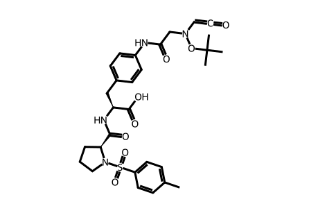 Cc1ccc(S(=O)(=O)N2CCC[C@H]2C(=O)N[C@@H](Cc2ccc(NC(=O)CN(C=C=O)OC(C)(C)C)cc2)C(=O)O)cc1